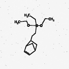 CCO[Si](CC)(CCC1CC2C=CC1C2)OCC